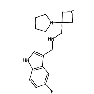 Fc1ccc2[nH]cc(CNCC3(N4CCCC4)COC3)c2c1